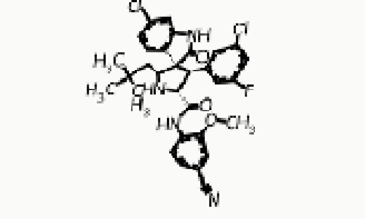 COc1cc(C#N)ccc1NC(=O)[C@@H]1N[C@@H](CC(C)(C)C)[C@@]2(C(=O)Nc3cc(Cl)ccc32)[C@H]1c1cc(F)cc(Cl)c1